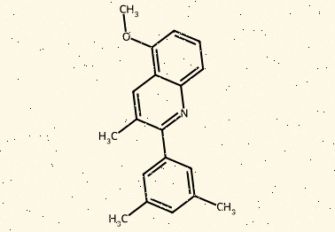 COc1cccc2nc(-c3cc(C)cc(C)c3)c(C)cc12